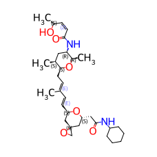 CC(/C=C/[C@@H]1C[C@]2(CO2)C[C@@H](CC(=O)NC2CCCCC2)O1)=C\C[C@@H]1O[C@H](C)[C@H](NC(=O)/C=C\[C@H](C)O)C[C@@H]1C